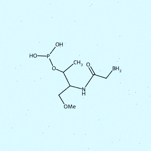 BCC(=O)NC(COC)C(C)OP(O)O